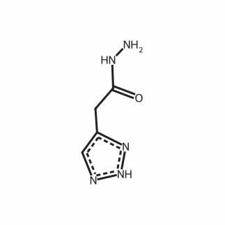 NNC(=O)Cc1cn[nH]n1